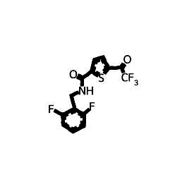 O=C(NCc1c(F)cccc1F)c1ccc(C(=O)C(F)(F)F)s1